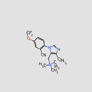 Cc1ncn(-c2ccc(OC(F)(F)F)cc2C#N)c1C[N+](C)(C)C